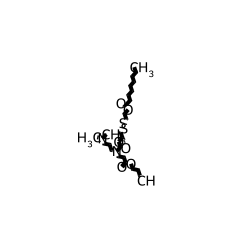 C#CCCOC(=O)CCN(CCCN(C)C)C(=O)OCCSSCCOC(=O)CCCCCCCC